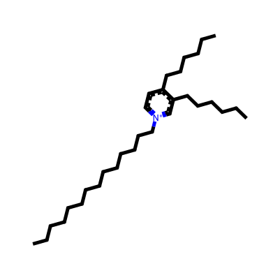 CCCCCCCCCCCCCC[n+]1ccc(CCCCCC)c(CCCCCC)c1